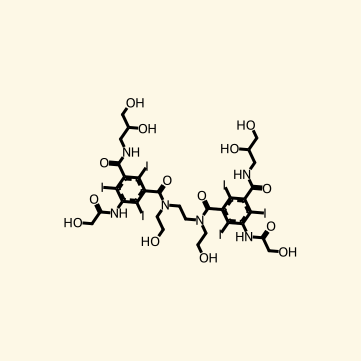 O=C(CO)Nc1c(I)c(C(=O)NCC(O)CO)c(I)c(C(=O)N(CCO)CCN(CCO)C(=O)c2c(I)c(NC(=O)CO)c(I)c(C(=O)NCC(O)CO)c2I)c1I